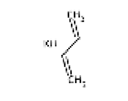 C=CC=C.[KH]